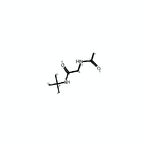 CC(=O)NCC(=O)NC(C)(C)C